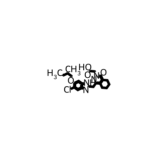 CCC(C)COc1cc2[nH]c(Cc3nn(CC(=O)O)c(=O)c4c3CCCC4)nc2cc1Cl